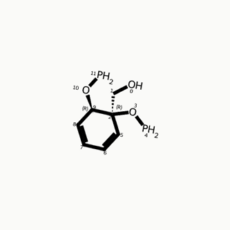 OC[C@]1(OP)C=CC=C[C@H]1OP